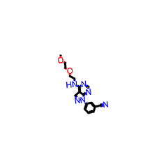 COCCOCCNc1ncnc2c1cnn2-c1cccc(C#N)c1